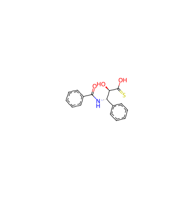 O=C(N[C@@H](c1ccccc1)[C@@H](O)C(O)=S)c1ccccc1